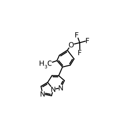 Cc1cc(OC(F)(F)F)ccc1-c1cnn2cncc2c1